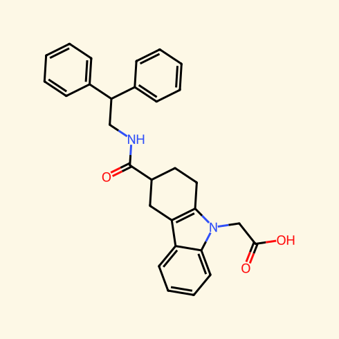 O=C(O)Cn1c2c(c3ccccc31)CC(C(=O)NCC(c1ccccc1)c1ccccc1)CC2